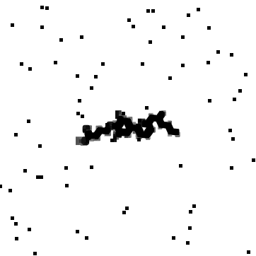 CCCCC(C)Cc1cccc(-c2cc(F)c(OCCCC(=O)O)c(F)c2)n1